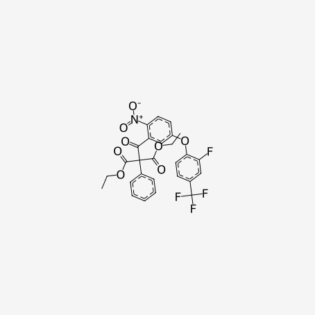 CCOC(=O)C(C(=O)OCC)(C(=O)c1cc(Oc2ccc(C(F)(F)F)cc2F)ccc1[N+](=O)[O-])c1ccccc1